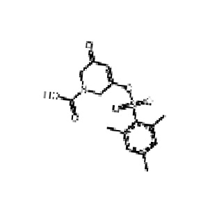 Cc1cc(C)c(S(=O)(=O)OC2=CC(=O)CN(C(=O)O)C2)c(C)c1